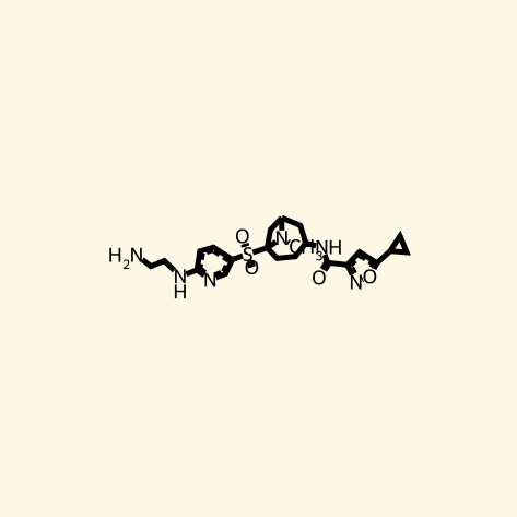 CN1C2CC(NC(=O)c3cc(C4CC4)on3)CCC1(S(=O)(=O)c1ccc(NCCN)nc1)C2